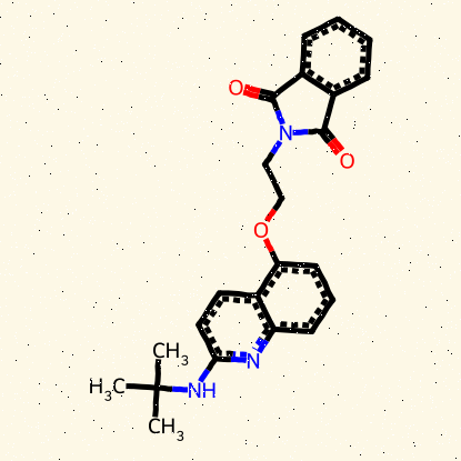 CC(C)(C)Nc1ccc2c(OCCN3C(=O)c4ccccc4C3=O)cccc2n1